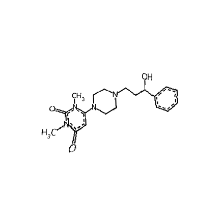 Cn1c(N2CCN(CCC(O)c3ccccc3)CC2)cc(=O)n(C)c1=O